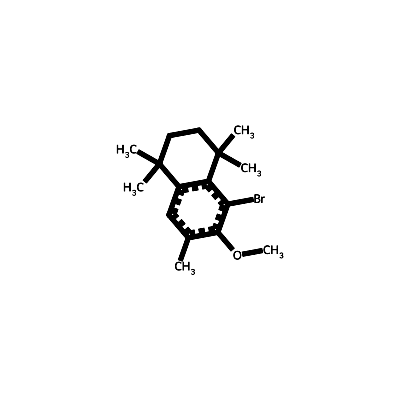 COc1c(C)cc2c(c1Br)C(C)(C)CCC2(C)C